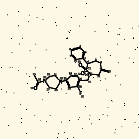 C=C1CCC(c2ccccc2)S(=O)(=O)N(Cc2ccc(N3CCN(C(C)=O)CC3)cc2F)C1